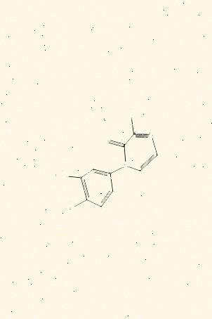 COc1cc(-n2ccnc(Cl)c2=O)ccc1Br